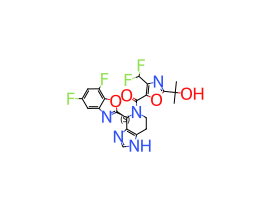 CC(C)(O)c1nc(C(F)F)c(C(=O)N2CCc3[nH]cnc3[C@H]2c2nc3cc(F)cc(F)c3o2)o1